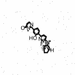 CN(c1ccc(-c2ccc(-c3nccc(=O)n3C)cc2O)nn1)[C@@H]1C[C@H]2CC[C@](C)(N2)[C@H]1F